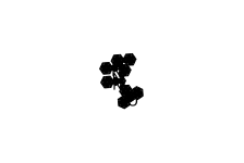 O=P(c1ccccc1)(c1ccccc1)c1ccc(-c2cc(-c3cccc4c3nc(-c3ccccc3)c3cccc(-c5ccccc5)c34)nc(-c3ccccc3)n2)cc1